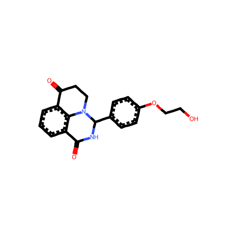 O=C1CCN2c3c1cccc3C(=O)NC2c1ccc(OCCO)cc1